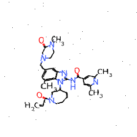 C=CC(=O)N1CCCCC(n2c(NC(=O)c3cc(C)nc(C)c3)nc3cc(CN4CCN(C)C(=O)C4)cc(C)c32)C1